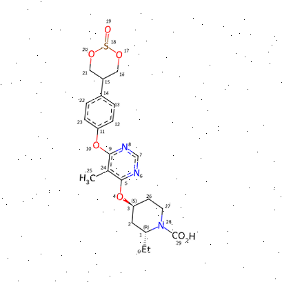 CC[C@@H]1C[C@@H](Oc2ncnc(Oc3ccc(C4COS(=O)OC4)cc3)c2C)CCN1C(=O)O